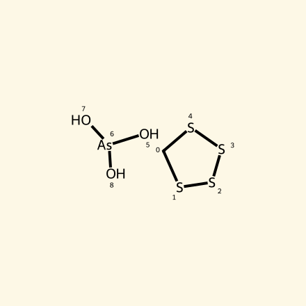 C1SSSS1.O[As](O)O